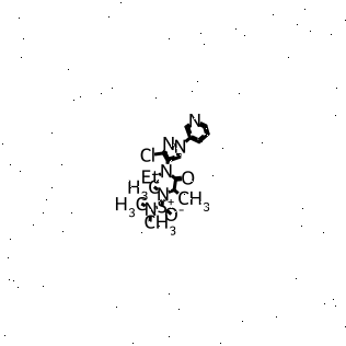 CCN(C(=O)C(C)N(C)[S+]([O-])N(C)C)c1cn(-c2cccnc2)nc1Cl